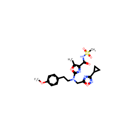 Cc1oc(N(CCc2ccc(OC(F)(F)F)cc2)Cc2nc(C3CC3)no2)nc1C(=O)NS(C)(=O)=O